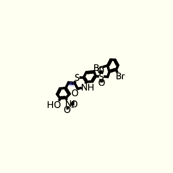 O=C1Nc2cc(S(=O)(=O)Cc3c(Br)cccc3Br)ccc2S/C1=C/c1ccc(O)c([N+](=O)[O-])c1